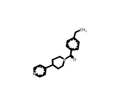 CCc1ccc(C(=O)N2CCC(c3ccncc3)CC2)cc1